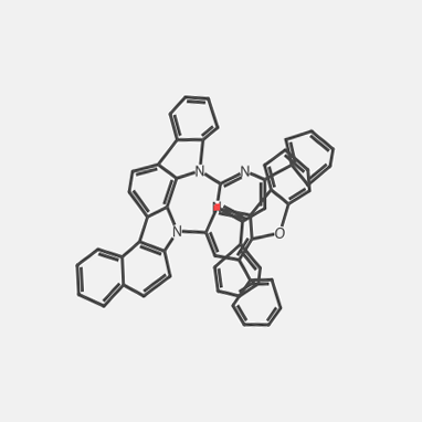 c1ccc(-c2cc(-c3ccccc3)nc(-n3c4ccccc4c4ccc5c6c7ccccc7ccc6n(-c6cc(-c7ccccc7)c7oc8ccccc8c7c6)c5c43)n2)cc1